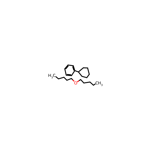 CCCCCOCCCCC.c1ccc(C2CCCCC2)cc1